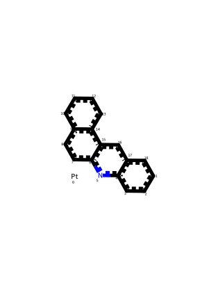 [Pt].c1ccc2nc3ccc4ccccc4c3cc2c1